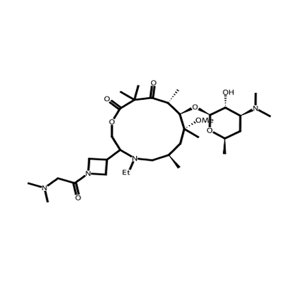 CCN1C[C@H](C)C[C@@](C)(OC)[C@H](O[C@@H]2O[C@H](C)C[C@H](N(C)C)[C@H]2O)[C@@H](C)C(=O)C(C)(C)C(=O)OCC1C1CN(C(=O)CN(C)C)C1